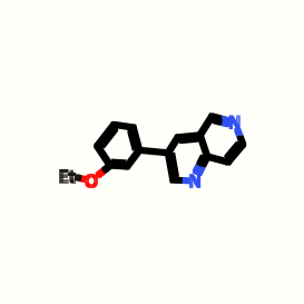 CCOc1cccc(-c2cnc3ccncc3c2)c1